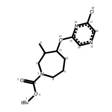 CC1CN(C(=O)OC(C)(C)C)CCCC1Oc1cncc(Cl)n1